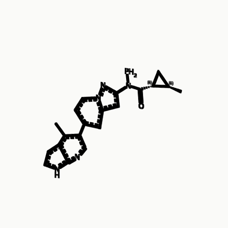 Cc1c(-c2ccn3nc(N(P)C(=O)[C@@H]4C[C@H]4C)cc3c2)cnc2[nH]ccc12